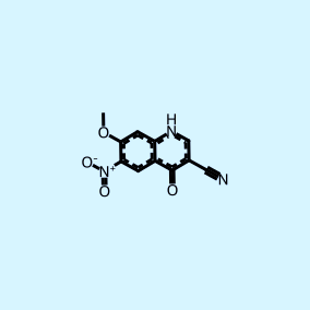 COc1cc2[nH]cc(C#N)c(=O)c2cc1[N+](=O)[O-]